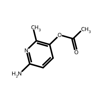 CC(=O)Oc1ccc(N)nc1C